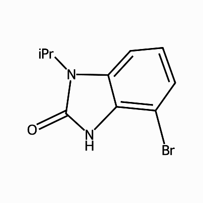 CC(C)n1c(=O)[nH]c2c(Br)cccc21